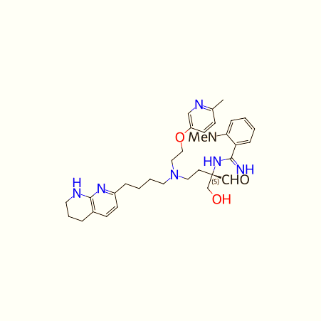 CNc1ccccc1C(=N)N[C@](C=O)(CO)CCN(CCCCc1ccc2c(n1)NCCC2)CCOc1ccc(C)nc1